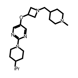 CC(C)C1CCN(c2ncc(OC3CN(CC4CCN(C)CC4)C3)cn2)CC1